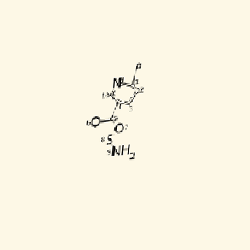 Cc1ccc(C(=O)OSN)cn1